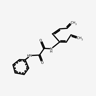 C=C/C=C\C(=C/C=C)NC(=O)C(=O)Nc1ccccc1